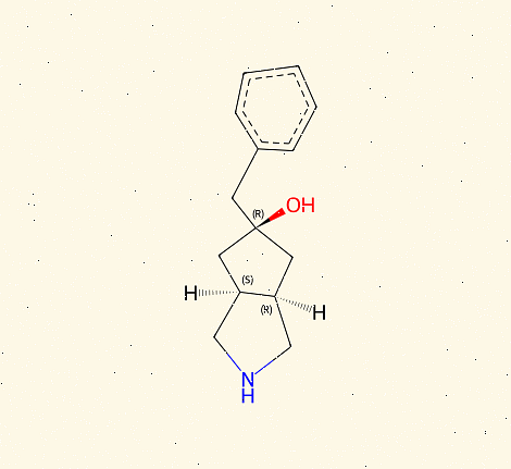 O[C@@]1(Cc2ccccc2)C[C@H]2CNC[C@H]2C1